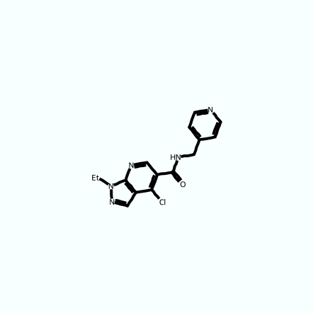 CCn1ncc2c(Cl)c(C(=O)NCc3ccncc3)cnc21